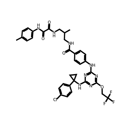 Cc1ccc(NC(=O)C(=O)NCC(C)CNC(=O)c2ccc(Nc3nc(NC4(c5ccc(Cl)cc5)CC4)nc(OCC(F)(F)F)n3)cc2)cc1